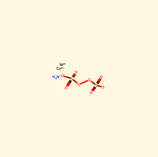 O=S(=O)([O-])OOS(=O)(=O)[O-].[Co+2].[NH4+].[Ni+2]